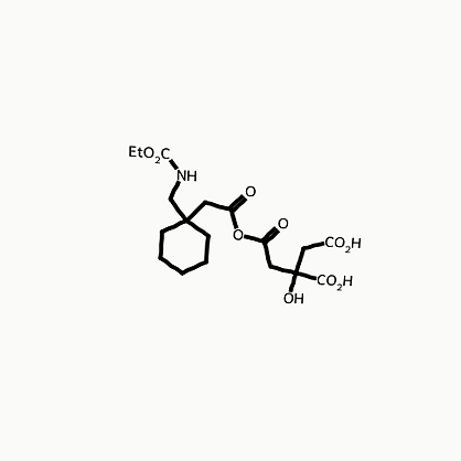 CCOC(=O)NCC1(CC(=O)OC(=O)CC(O)(CC(=O)O)C(=O)O)CCCCC1